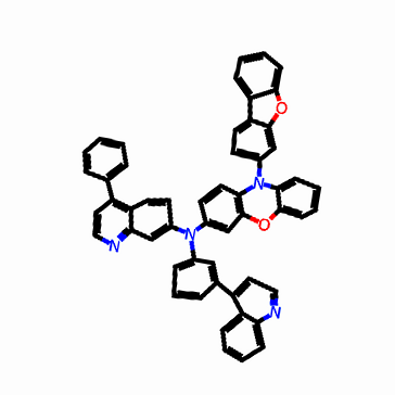 c1ccc(-c2ccnc3cc(N(c4cccc(-c5ccnc6ccccc56)c4)c4ccc5c(c4)Oc4ccccc4N5c4ccc5c(c4)oc4ccccc45)ccc23)cc1